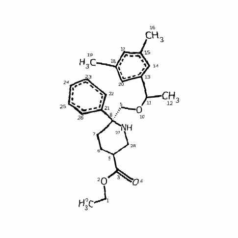 CCOC(=O)C1CC[C@@](COC(C)c2cc(C)cc(C)c2)(c2ccccc2)NC1